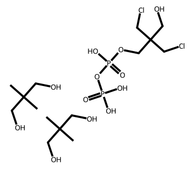 CC(C)(CO)CO.CC(C)(CO)CO.O=P(O)(O)OP(=O)(O)OCC(CO)(CCl)CCl